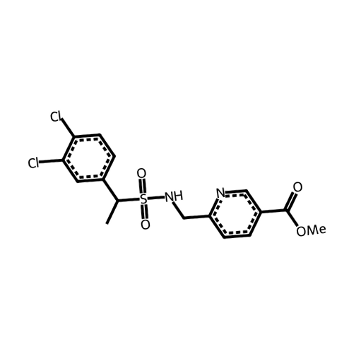 COC(=O)c1ccc(CNS(=O)(=O)C(C)c2ccc(Cl)c(Cl)c2)nc1